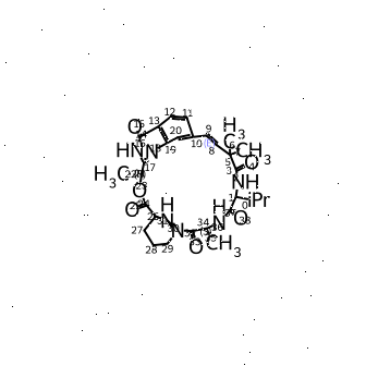 CC(C)C1NC(=O)C(C)(C)/C=C/c2ccc3c(=O)[nH]c(nc3c2)[C@@H](C)OC(=O)C2CCCN(N2)C(=O)[C@H](C)NC1=O